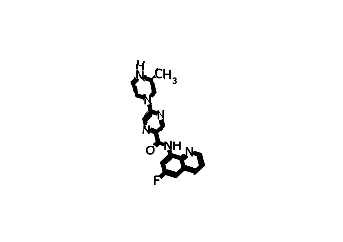 C[C@@H]1CN(c2cnc(C(=O)Nc3cc(F)cc4cccnc34)cn2)CCN1